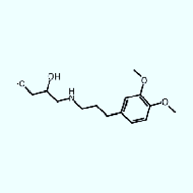 COc1ccc(CCCNCC(O)C[O])cc1OC